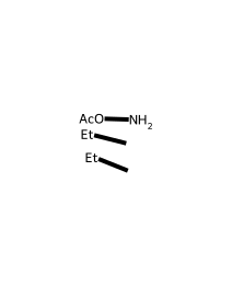 CC(=O)ON.CCC.CCC